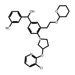 N#Cc1cccc(C(O)c2ccc(N3CCC(Oc4ncccc4Cl)C3)c(CCOC3CCCCO3)c2)c1